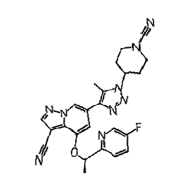 Cc1c(-c2cc(O[C@H](C)c3ccc(F)cn3)c3c(C#N)cnn3c2)nnn1C1CCN(C#N)CC1